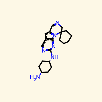 N[C@H]1CC[C@H](Nc2ncc3cc4n(c3n2)C2(CCCCC2)CN=C4)CC1